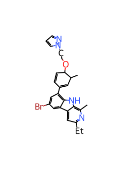 CCc1cc2c([nH]c3c(C4=CC(C)C(OCCn5cccn5)C=C4)cc(Br)cc32)c(C)n1